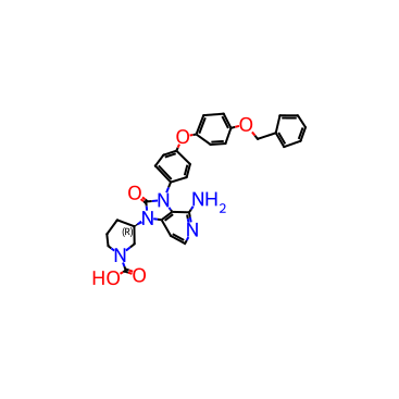 Nc1nccc2c1n(-c1ccc(Oc3ccc(OCc4ccccc4)cc3)cc1)c(=O)n2[C@@H]1CCCN(C(=O)O)C1